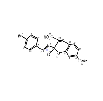 CCC1(/N=N/c2ccc(Br)cc2)Oc2cc(OC)ccc2C=C1C(=O)O